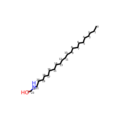 CCCCCCCCCCCCCCCCCCCCCCNCO